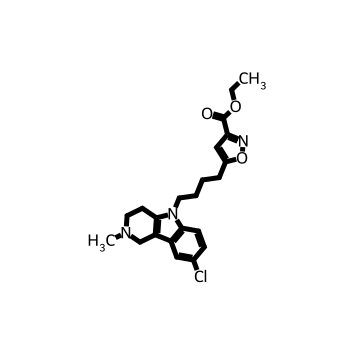 CCOC(=O)c1cc(CCCCn2c3c(c4cc(Cl)ccc42)CN(C)CC3)on1